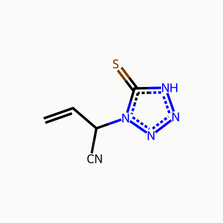 C=CC(C#N)n1nn[nH]c1=S